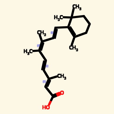 CC1=C(/C=C/C(C)=C(C)\C=C\C(C)=C\C(=O)O)C(C)(C)CCC1